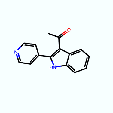 CC(=O)c1c(-c2ccncc2)[nH]c2ccccc12